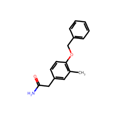 Cc1cc(CC(N)=O)ccc1OCc1ccccc1